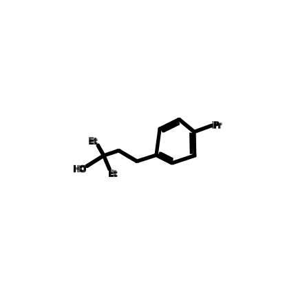 CCC(O)(CC)CCc1ccc(C(C)C)cc1